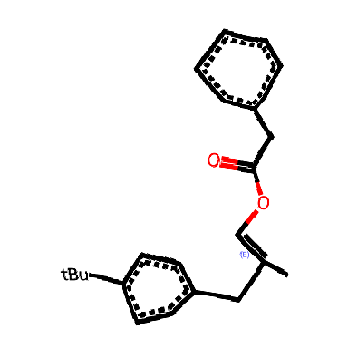 C/C(=C\OC(=O)Cc1ccccc1)Cc1ccc(C(C)(C)C)cc1